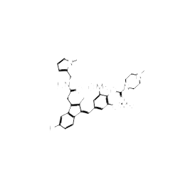 COc1cc(C=C2C(C)=C(CC(=O)NCc3cccn3C)c3cc(F)ccc32)cc(OC)c1OC(=O)N1CCN(C)CC1